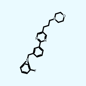 Fc1cccc2c1N2Cc1cccc(-c2ncc(CCCN3CCOCC3)cn2)c1